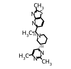 Cc1cc([C@H]2CCCN([C@@H](C)c3ccc4sc(C)nc4n3)C2)nc(C)n1